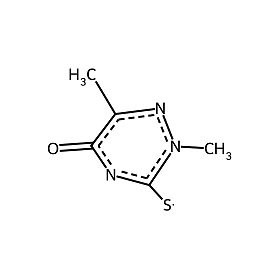 Cc1nn(C)c([S])nc1=O